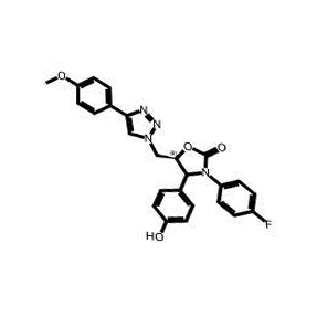 COc1ccc(-c2cn(C[C@H]3OC(=O)N(c4ccc(F)cc4)C3c3ccc(O)cc3)nn2)cc1